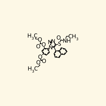 CCNC(=O)Sc1nnn(-c2ccc(OC(=O)OCC)cc2OC(=O)OCC)c1-c1cccc2ccccc12